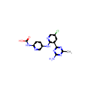 Cc1nc(N)nc(-c2cc(Cl)cnc2Nc2ccc(NC(=O)O)nc2)n1